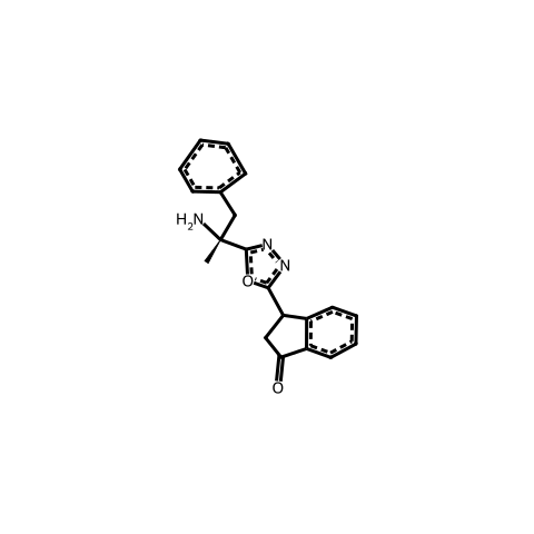 C[C@@](N)(Cc1ccccc1)c1nnc(C2CC(=O)c3ccccc32)o1